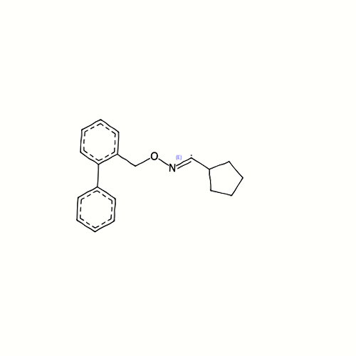 [C](=N\OCc1ccccc1-c1ccccc1)/C1CCCC1